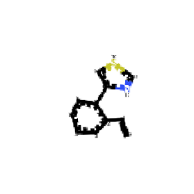 C=Cc1ccccc1-c1cscn1